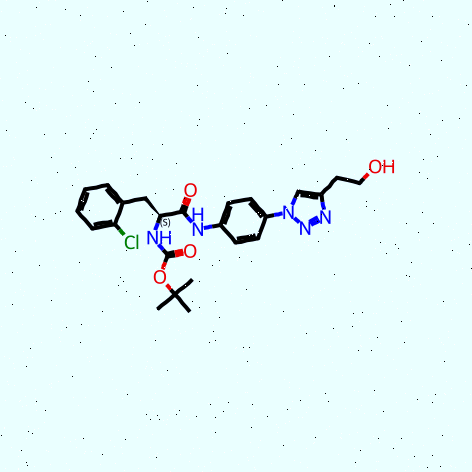 CC(C)(C)OC(=O)N[C@@H](Cc1ccccc1Cl)C(=O)Nc1ccc(-n2cc(CCO)nn2)cc1